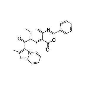 C=c1nc(-c2ccccc2)oc(=O)c1=CC(=CC)C(=O)c1c(C)cc2ccccn12